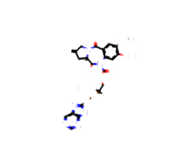 C=C1C[C@H]2C(O)N(C(=O)OCC(C)(C)SSc3nc4cncnc4[nH]3)c3cc(O)c(OC)cc3C(=O)N2C1